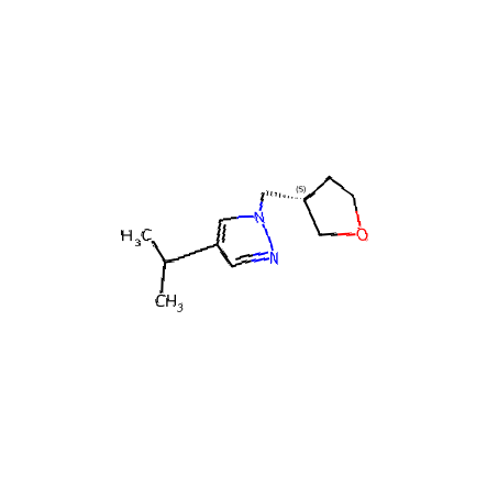 CC(C)c1cnn(C[C@@H]2CCOC2)c1